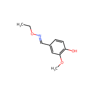 CCON=Cc1ccc(O)c(OC)c1